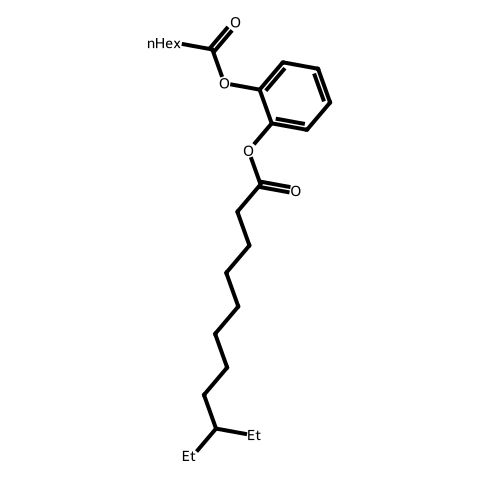 CCCCCCC(=O)Oc1ccccc1OC(=O)CCCCCCCC(CC)CC